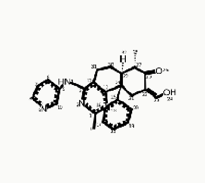 Cc1nc(Nc2cccnc2)c2c(n1)[C@@]1(c3ccccc3)CC(=CO)C(=O)[C@@H](C)[C@@H]1CC2